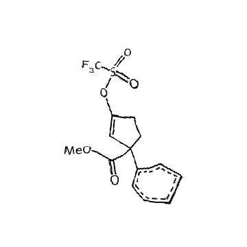 COC(=O)C1(c2ccccc2)C=C(OS(=O)(=O)C(F)(F)F)CC1